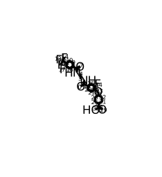 O=C(NCCNC(=O)c1ccc(C(F)(F)F)c(F)c1)c1ccc(OC2CCC(C(=O)O)CC2)c(F)c1